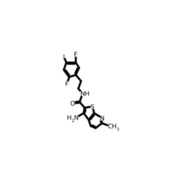 Cc1ccc2c(N)c(C(=O)NCCc3cc(F)c(I)cc3F)sc2n1